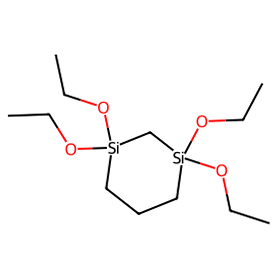 CCO[Si]1(OCC)CCC[Si](OCC)(OCC)C1